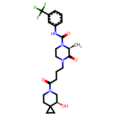 C[C@H]1C(=O)N(CCCC(=O)N2CCC3(CC3)[C@H](O)C2)CCN1C(=O)Nc1cccc(C(F)(F)F)c1